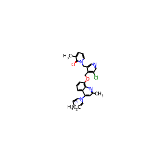 C=CN(/C=C\C)c1cc(C)nc2c(OCc3c(Cl)cncc3Cn3cccc(C)c3=O)cccc12